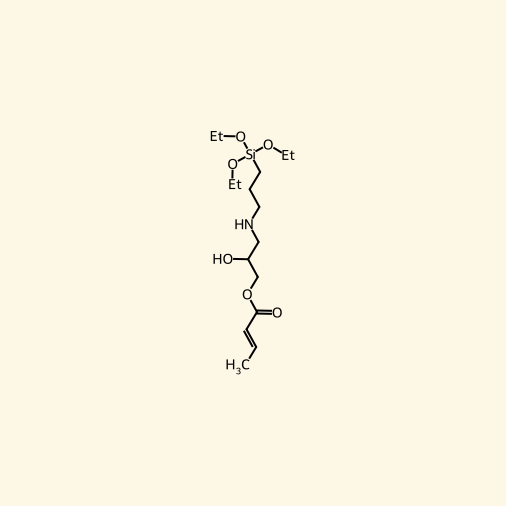 CC=CC(=O)OCC(O)CNCCC[Si](OCC)(OCC)OCC